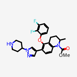 COC(=O)N1c2ccc(-c3cnn(C4CCNCC4)c3)c(Oc3cccc(F)c3F)c2CCC1C